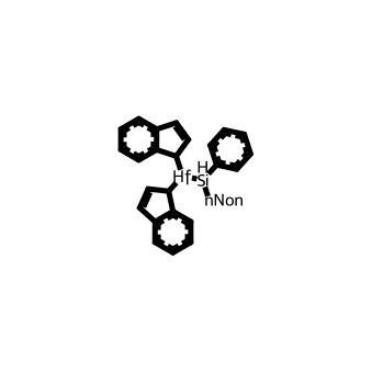 CCCCCCCCC[SiH](c1ccccc1)[Hf]([CH]1C=Cc2ccccc21)[CH]1C=Cc2ccccc21